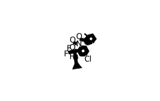 CC1(C)C2CC[C@@]1(C)C(C(=O)N1C(=O)OC(C#CC3CC3)(C(F)(F)F)c3cc(Cl)ccc31)C2